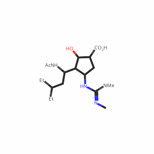 CCC(CC)CC(NC(C)=O)C1C(N/C(=N/C)NC)CC(C(=O)O)C1O